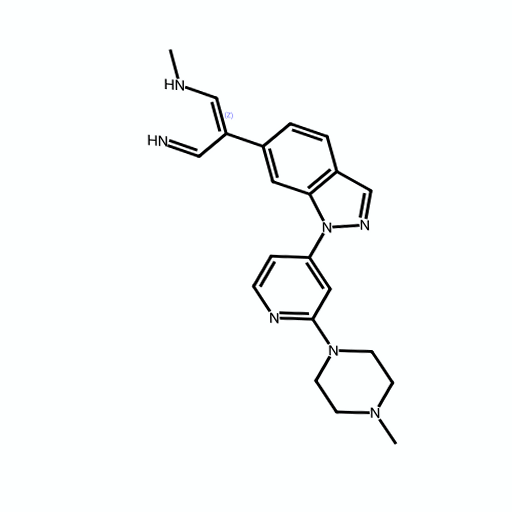 CN/C=C(\C=N)c1ccc2cnn(-c3ccnc(N4CCN(C)CC4)c3)c2c1